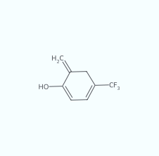 C=C1CC(C(F)(F)F)=CC=C1O